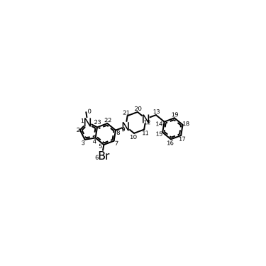 Cn1ccc2c(Br)cc(N3CCN(Cc4ccccc4)CC3)cc21